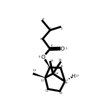 CC(C)CC(=O)O[C@H]1C[C@H]2CC[C@@]1(C)C2(C)C